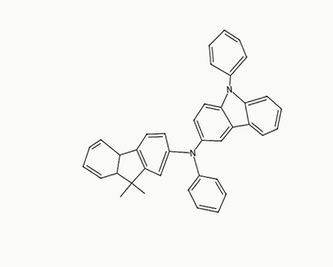 CC1(C)c2cc(N(c3ccccc3)c3ccc4c(c3)c3ccccc3n4-c3ccccc3)ccc2C2C=CC=CC21